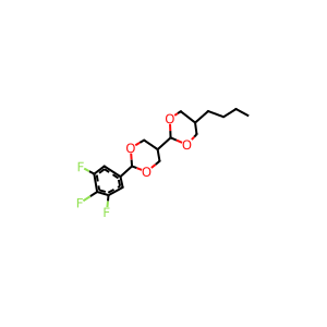 CCCCC1COC(C2COC(c3cc(F)c(F)c(F)c3)OC2)OC1